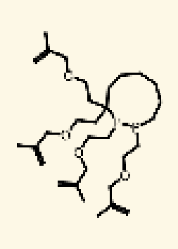 C=C(C)COCCP1CCCCCCC(CCOCC(=C)C)(CCOCC(=C)C)P1CCOCC(=C)C